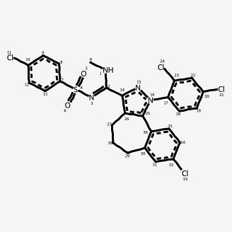 CNC(=NS(=O)(=O)c1ccc(Cl)cc1)c1nn(-c2ccc(Cl)cc2Cl)c2c1CCCc1cc(Cl)ccc1-2